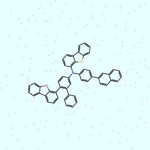 c1ccc(-c2cc(N(c3ccc(-c4ccc5ccccc5c4)cc3)c3cccc4c3sc3ccccc34)ccc2-c2cccc3c2oc2ccccc23)cc1